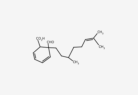 CC(C)=CCCC(C)CCC1(C=O)C=CC=CC1C(=O)O